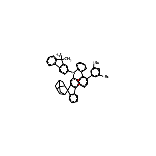 CC(C)(C)c1cc(-c2ccccc2-c2ccccc2N(c2ccc3c(c2)C(C)(C)c2ccccc2-3)c2ccc3c(c2)C2(c4ccccc4-3)C3CC4CC(C3)CC2C4)cc(C(C)(C)C)c1